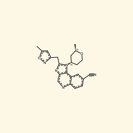 Cc1cc(Cc2nc3cnc4ccc(C#N)cc4c3n2[C@@H]2CCO[C@H](C)C2)no1